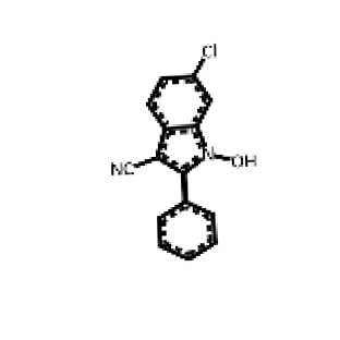 N#Cc1c(-c2ccccc2)n(O)c2cc(Cl)ccc12